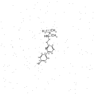 CC(C)(C)NCCc1cccc(-c2ccc(F)cc2)n1